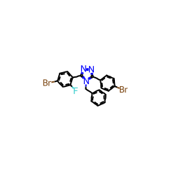 Fc1cc(Br)ccc1-c1nnc(-c2ccc(Br)cc2)n1Cc1ccccc1